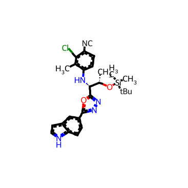 [C-]#[N+]c1ccc(N[C@@H](c2nnc(-c3ccc4[nH]ccc4c3)o2)[C@H](C)O[Si](C)(C)C(C)(C)C)c(C)c1Cl